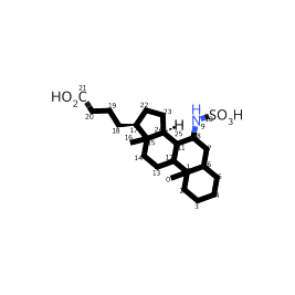 CC12CCCCC1CC(NS(=O)(=O)O)C1C2CCC2(C)[C@@H](CCCC(=O)O)CC[C@@H]12